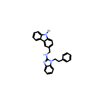 CCn1c2ccccc2c2cc(CNc3nc4ccccc4n3CCc3ccccc3)ccc21